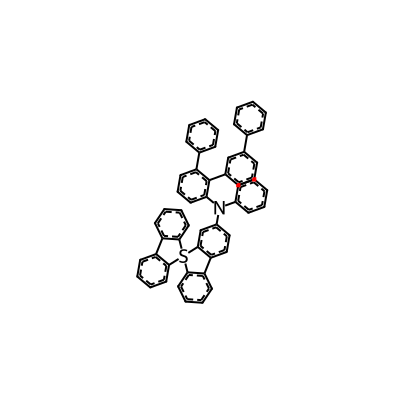 c1ccc(-c2cccc(-c3c(-c4ccccc4)cccc3N(c3ccccc3)c3ccc4c(c3)S3(c5ccccc5-c5ccccc53)c3ccccc3-4)c2)cc1